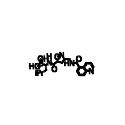 CC(C)C[C@H](NC(=O)C1CC(CNC(=O)c2cccc3ncccc23)=NO1)B(O)O